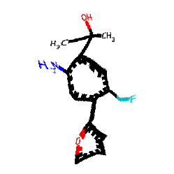 CC(C)(O)c1cc(F)c(-c2ccco2)cc1N